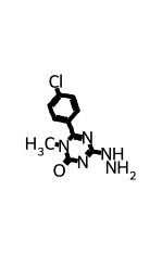 Cn1c(-c2ccc(Cl)cc2)nc(NN)nc1=O